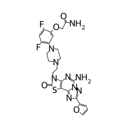 NC(=O)COc1cc(N2CCN(CCn3c(=O)sc4c3nc(N)n3nc(-c5ccco5)nc43)CC2)c(F)cc1F